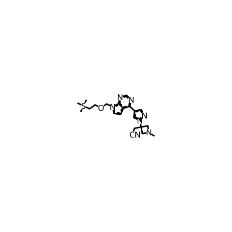 CN1CC(CC#N)(n2cc(-c3ncnc4c3ccn4COCCS(C)(C)C)cn2)C1